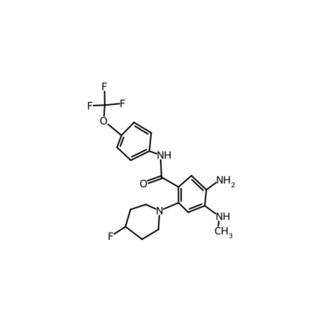 CNc1cc(N2CCC(F)CC2)c(C(=O)Nc2ccc(OC(F)(F)F)cc2)cc1N